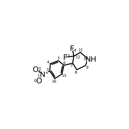 O=[N+]([O-])c1ccc(C2CCNCC2(F)F)cc1